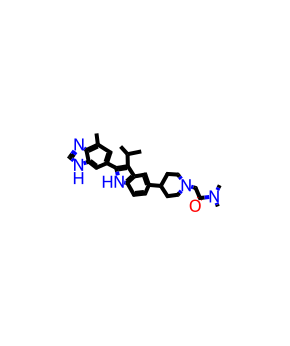 Cc1cc(-c2[nH]c3ccc(C4CCN(CC(=O)N(C)C)CC4)cc3c2C(C)C)cc2[nH]cnc12